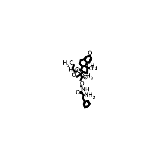 CCCC1OCC(C(=O)COCNC(=O)C(N)Cc2ccccc2)(C2(C)CC(O)C3C(CCC4=CC(=O)C=CC43C)C2C)O1